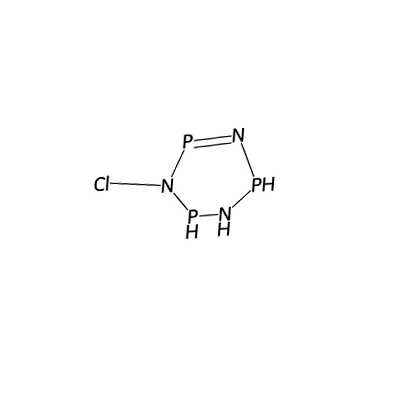 Cln1pn[pH][nH][pH]1